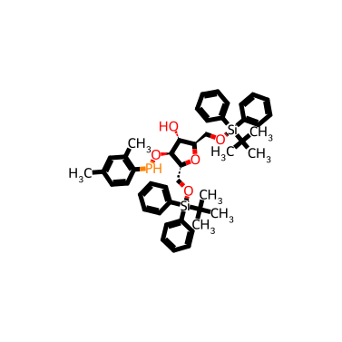 Cc1ccc(PO[C@H]2[C@H](O)[C@@H](CO[Si](c3ccccc3)(c3ccccc3)C(C)(C)C)O[C@@H]2CO[Si](c2ccccc2)(c2ccccc2)C(C)(C)C)c(C)c1